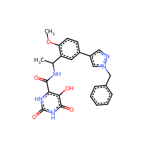 COc1ccc(-c2cnn(Cc3ccccc3)c2)cc1C(C)NC(=O)c1[nH]c(=O)[nH]c(=O)c1O